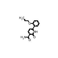 C=CCOc1ccccc1-c1ccc(C(N)=O)c(=O)[nH]1